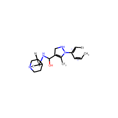 C/C=C\C(=C/CC)N1NCC(C(O)N[C@H]2CN3CCC2CC3)=C1C(F)(F)F